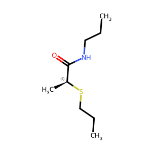 CCCNC(=O)[C@H](C)SCCC